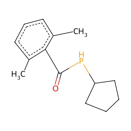 Cc1cccc(C)c1C(=O)PC1CCCC1